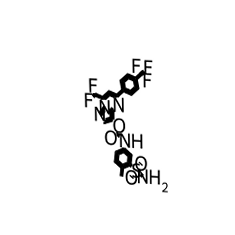 Cc1ccc(NC(=O)Oc2cnn3c(C(F)F)cc(-c4ccc(C(F)(F)F)cc4)nc23)cc1S(N)(=O)=O